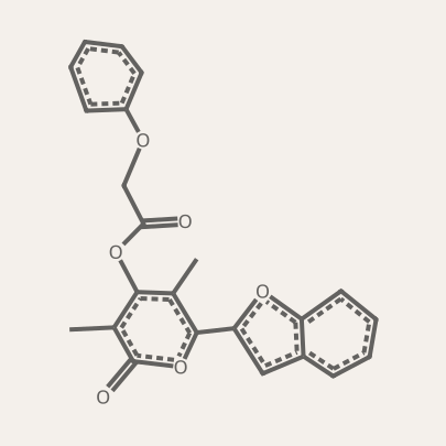 Cc1c(-c2cc3ccccc3o2)oc(=O)c(C)c1OC(=O)COc1ccccc1